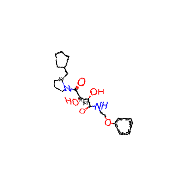 O=C(NCCOc1ccccc1)[C@H](O)[C@@H](O)C(=O)N1CCC[C@H]1CC1CCCC1